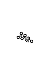 c1ccc(-c2ccnc3c(-n4c5ccccc5c5c4ccc4c6ccccc6n(-c6ccccc6)c45)ccnc23)cc1